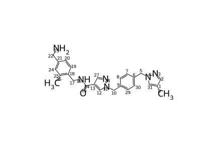 Cc1cnn(Cc2ccc(Cn3cc(C(=O)NCc4ccc(CN)cc4C)cn3)cc2)c1